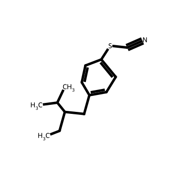 CCC(Cc1ccc(SC#N)cc1)C(C)C